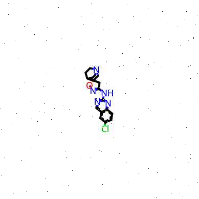 Clc1ccc2nc(NC3=NOC4(C3)CN3CCC4CC3)ncc2c1